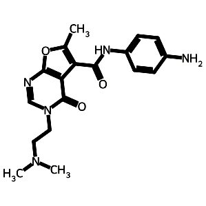 Cc1oc2ncn(CCN(C)C)c(=O)c2c1C(=O)Nc1ccc(N)cc1